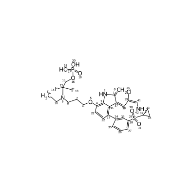 C=c1[nH]c2c(OCCCN(CC)C(F)(F)COP(=O)(O)O)ccc(-c3cccc(S(=O)(=O)C4CC4)c3)c2/c1=C/C(Cl)=C\N